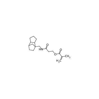 C=C(C)C(=O)OCCC(=O)NCC12CCC(C1)C1CCCC12